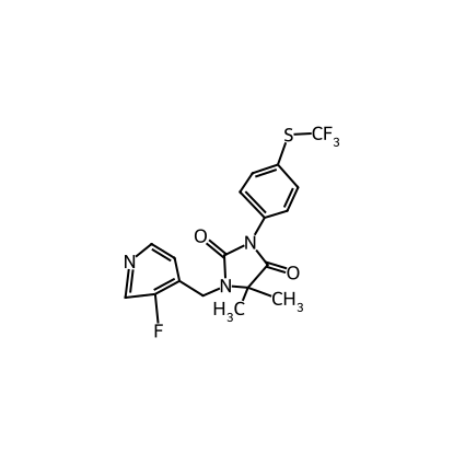 CC1(C)C(=O)N(c2ccc(SC(F)(F)F)cc2)C(=O)N1Cc1ccncc1F